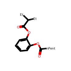 CCCCCC(=O)Oc1ccccc1OC(=O)C(CC)CC